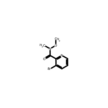 CON(C)C(=O)c1ncccc1Br